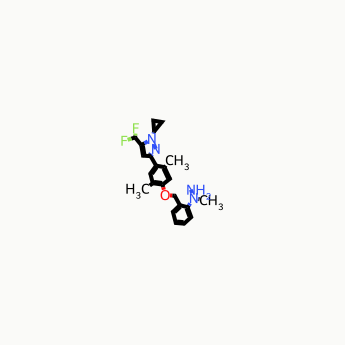 Cc1cc(-c2cc(C(F)F)n(C3CC3)n2)c(C)cc1OCc1ccccc1N(C)N